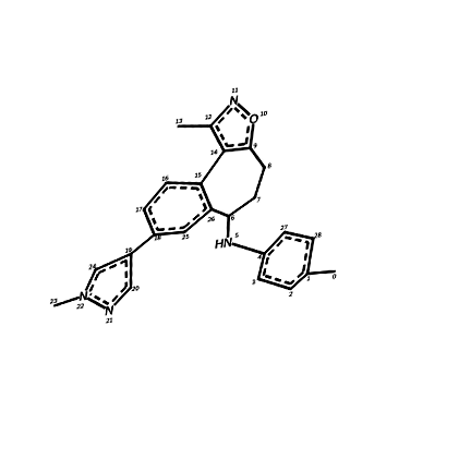 Cc1ccc(NC2CCc3onc(C)c3-c3ccc(-c4cnn(C)c4)cc32)cc1